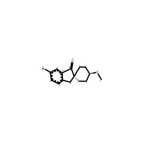 CO[C@H]1CC[C@]2(CC1)Cc1ccc(Br)cc1C2=O